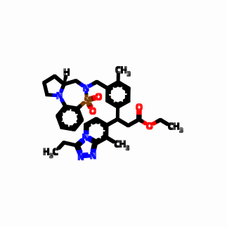 CCOC(=O)CC(c1ccc(C)c(CN2C[C@H]3CCCN3c3ccccc3S2(=O)=O)c1)c1ccn2c(CC)nnc2c1C